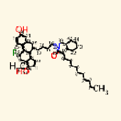 CCCCCCCCCCCC(=O)N(CCCC[C@@H]1Cc2cc(O)ccc2C2C1C1CC[C@H](O)[C@@]1(C)C[C@@H]2F)CC1CCCCC1